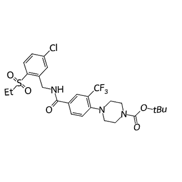 CCS(=O)(=O)c1ccc(Cl)cc1CNC(=O)c1ccc(N2CCN(C(=O)OC(C)(C)C)CC2)c(C(F)(F)F)c1